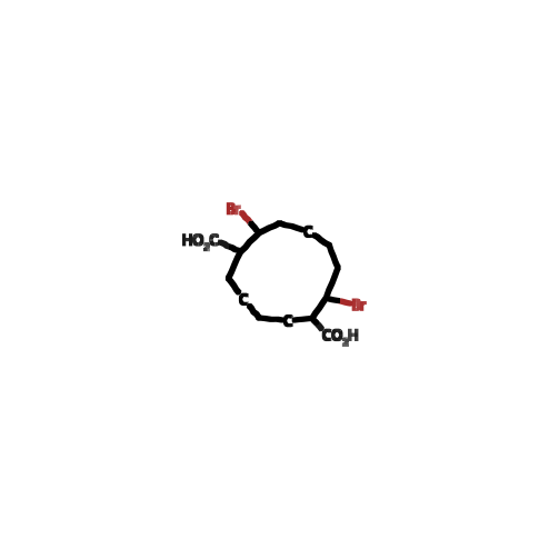 O=C(O)C1CCCCC(C(=O)O)C(Br)CCCCC1Br